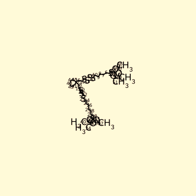 CCO[Si](CCCCCCCSSSSCCC1(CCSSSSCCCCCCC[Si](OCC)(OCC)OCC)CCCCC1)(OCC)OCC